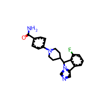 NC(=O)c1ccc(N2CCC(C3c4c(F)cccc4-c4cncn43)CC2)cc1